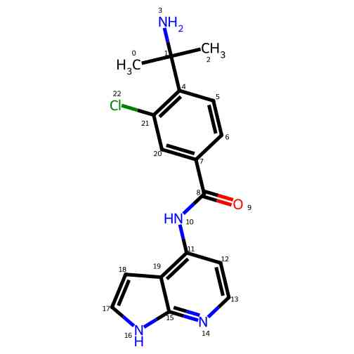 CC(C)(N)c1ccc(C(=O)Nc2ccnc3[nH]ccc23)cc1Cl